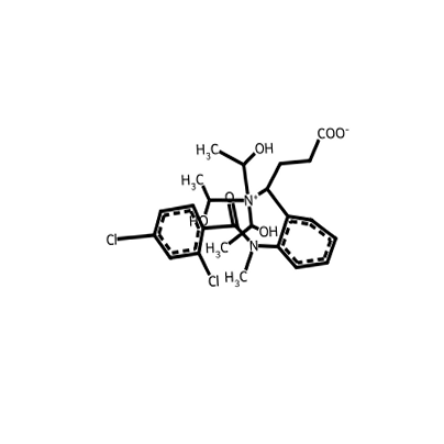 CC(O)[N+](C(C)O)(C(C)O)C(CCC(=O)[O-])c1ccccc1N(C)C(=O)c1ccc(Cl)cc1Cl